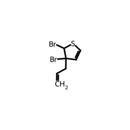 C=CCC1(Br)C=CSC1Br